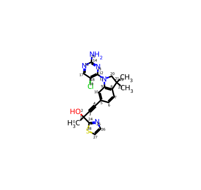 CC(O)(C#Cc1ccc2c(c1)N(c1nc(N)ncc1Cl)CC2(C)C)c1nccs1